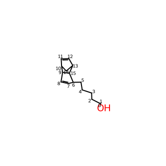 OCCCCCC1C=CC2C3C=CC(C3)C12